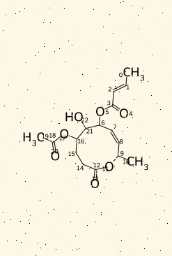 C/C=C/C(=O)OC1/C=C\C(C)OC(=O)CCC(OC(C)=O)C1O